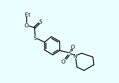 CCOC(=S)Sc1ccc(S(=O)(=O)N2CCCCC2)cc1